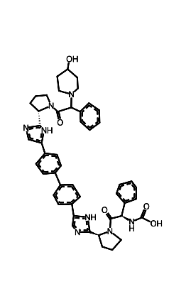 O=C(O)N[C@@H](C(=O)N1CCC[C@H]1c1ncc(-c2ccc(-c3ccc(-c4cnc([C@@H]5CCCN5C(=O)C(c5ccccc5)N5CCC(O)CC5)[nH]4)cc3)cc2)[nH]1)c1ccccc1